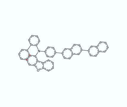 c1ccc(-c2ccccc2N(c2ccc(-c3ccc4cc(-c5ccc6ccccc6c5)ccc4c3)cc2)c2cccc3oc4ccccc4c23)cc1